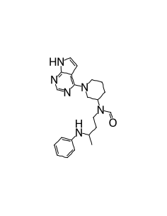 CC(CCN(C=O)C1CCCN(c2ncnc3[nH]ccc23)C1)Nc1ccccc1